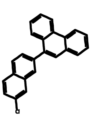 Clc1ccc2ccc(-c3cc4ccccc4c4ccccc34)cc2c1